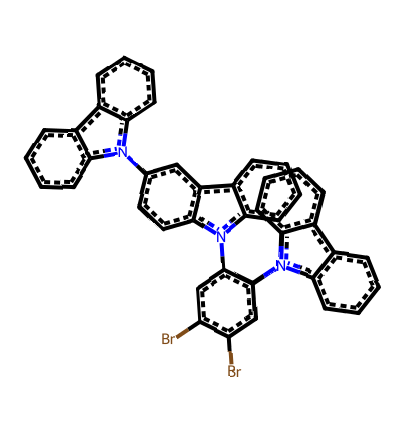 Brc1cc(-n2c3ccccc3c3ccccc32)c(-n2c3ccccc3c3cc(-n4c5ccccc5c5ccccc54)ccc32)cc1Br